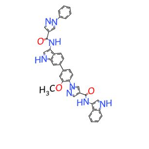 COc1cc(-c2ccc3c(NC(=O)c4cnn(-c5ccccc5)c4)c[nH]c3c2)ccc1-n1cc(C(=O)Nc2c[nH]c3ccccc23)cn1